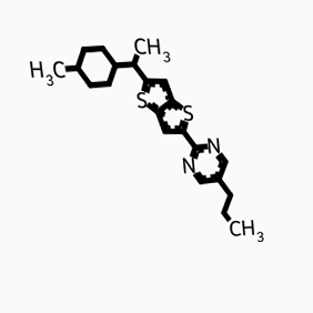 CCCc1cnc(-c2cc3sc(C(C)C4CCC(C)CC4)cc3s2)nc1